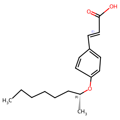 CCCCCC[C@@H](C)Oc1ccc(/C=C/C(=O)O)cc1